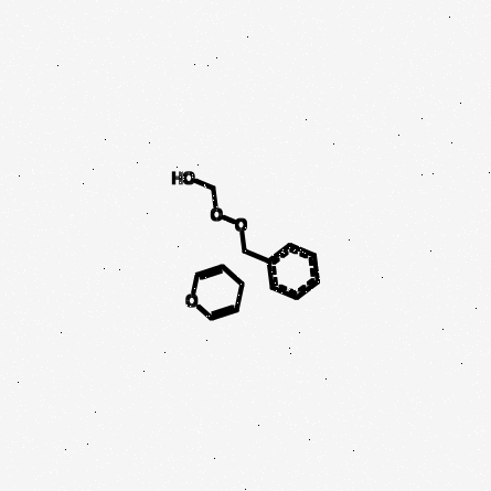 C1=COC=CC1.OCOOCc1ccccc1